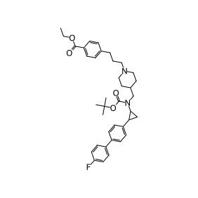 CCOC(=O)c1ccc(CCCN2CCC(CN(C(=O)OC(C)(C)C)C3CC3c3ccc(-c4ccc(F)cc4)cc3)CC2)cc1